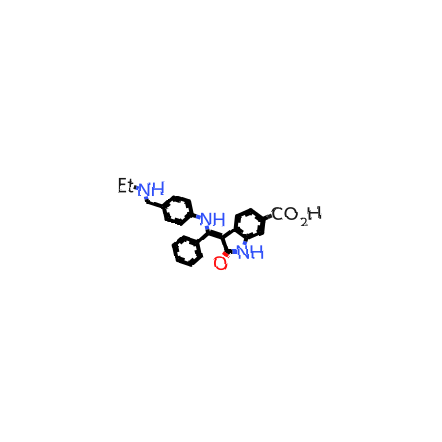 CCNCc1ccc(NC(=C2C(=O)Nc3cc(C(=O)O)ccc32)c2ccccc2)cc1